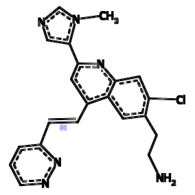 Cn1cncc1-c1cc(/C=C/c2cccnn2)c2cc(CCN)c(Cl)cc2n1